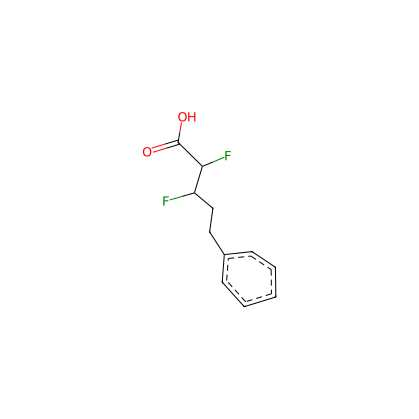 O=C(O)C(F)C(F)CCc1ccccc1